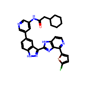 O=C(CC1CCCCC1)Nc1cncc(-c2ccc3[nH]nc(-c4nc5c(-c6ccc(F)s6)nccc5[nH]4)c3c2)c1